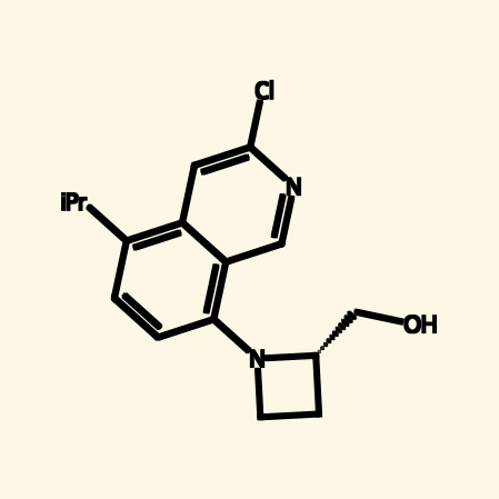 CC(C)c1ccc(N2CC[C@H]2CO)c2cnc(Cl)cc12